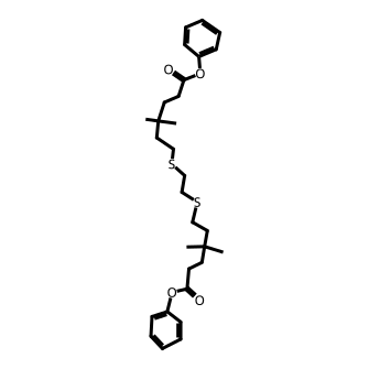 CC(C)(CCSCCSCCC(C)(C)CCC(=O)Oc1ccccc1)CCC(=O)Oc1ccccc1